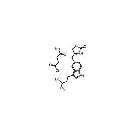 CN(C)CCc1c[nH]c2ccc(C[C@H]3COC(=O)N3)cc12.O=C(O)CCC(=O)O